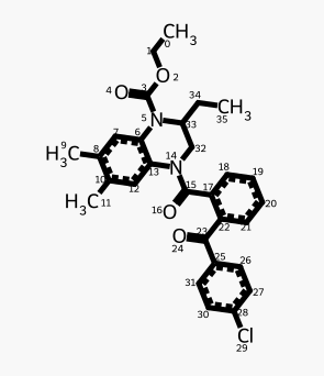 CCOC(=O)N1c2cc(C)c(C)cc2N(C(=O)c2ccccc2C(=O)c2ccc(Cl)cc2)CC1CC